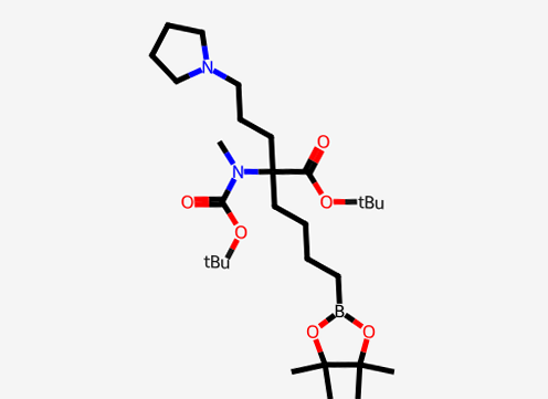 CN(C(=O)OC(C)(C)C)C(CCCCB1OC(C)(C)C(C)(C)O1)(CCCN1CCCC1)C(=O)OC(C)(C)C